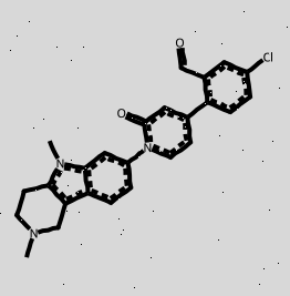 CN1CCc2c(c3ccc(-n4ccc(-c5ccc(Cl)cc5C=O)cc4=O)cc3n2C)C1